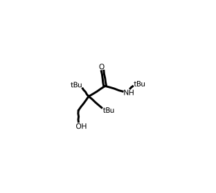 CC(C)(C)NC(=O)C(CO)(C(C)(C)C)C(C)(C)C